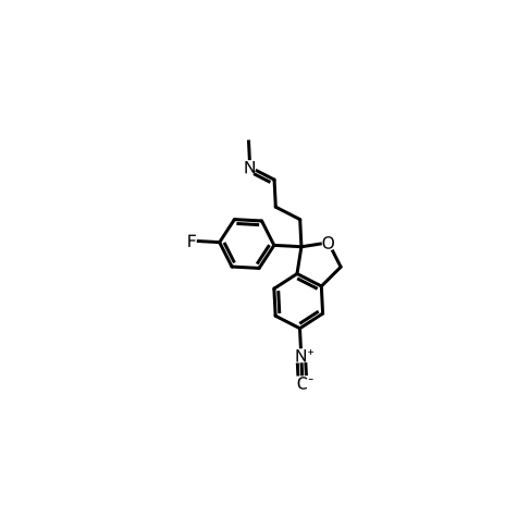 [C-]#[N+]c1ccc2c(c1)COC2(CCC=NC)c1ccc(F)cc1